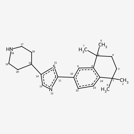 CC1(C)CCC(C)(C)c2cc(-c3ncc(C4CCNCC4)s3)ccc21